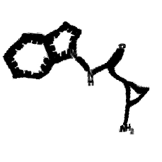 NC1CC1C(=O)Nn1ccc2ccccc21